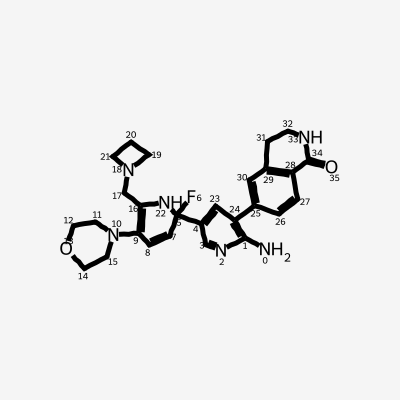 Nc1ncc(C2(F)C=CC(N3CCOCC3)=C(CN3CCC3)N2)cc1-c1ccc2c(c1)CCNC2=O